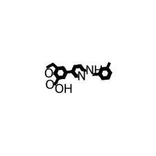 Cc1cccc(CNc2ccc(-c3cc4c(c(C(=O)O)c3)OCC4)cn2)c1